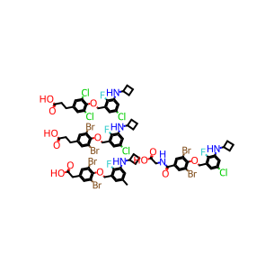 Cc1cc(COc2c(Br)cc(CC(=O)O)cc2Br)c(F)c(NC2CCC2)c1.O=C(O)CCc1cc(Br)c(OCc2cc(Cl)cc(NC3CCC3)c2F)c(Br)c1.O=C(O)CCc1cc(Cl)c(OCc2cc(Cl)cc(NC3CCC3)c2F)c(Cl)c1.O=C(O)CNC(=O)c1cc(Br)c(OCc2cc(Cl)cc(NC3CCC3)c2F)c(Br)c1